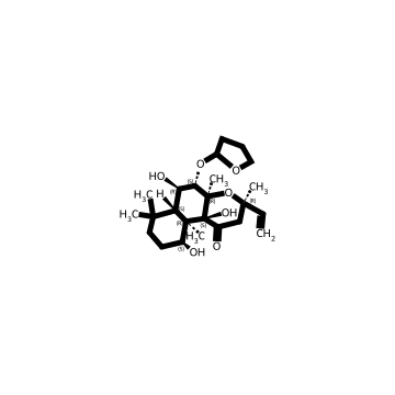 C=C[C@@]1(C)CC(=O)[C@]2(O)[C@@]3(C)[C@@H](O)CCC(C)(C)[C@@H]3[C@@H](O)[C@H](OC3CCCO3)[C@@]2(C)O1